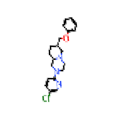 Clc1ccc(N2CCN3C[C@H](COc4ccccc4)CCC3C2)nc1